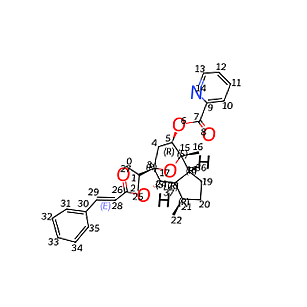 CC(C)[C@@]12C[C@@H](OC(=O)c3ccccn3)[C@@](C)(O1)[C@@H]1CC[C@@H](C)[C@H]1[C@@H]2OC(=O)/C=C/c1ccccc1